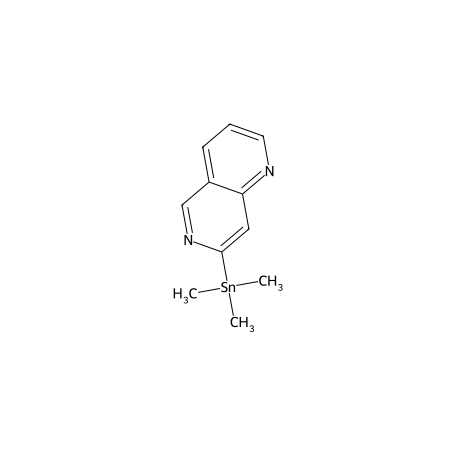 [CH3][Sn]([CH3])([CH3])[c]1cc2ncccc2cn1